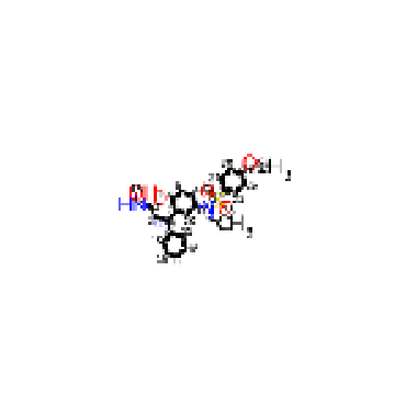 CCN(c1cccc(/C(=C\C(=O)NO)c2ccccc2)c1)S(=O)(=O)c1ccc(OC)cc1